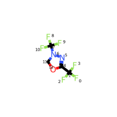 FC(F)(F)C1=NN(C(F)(F)F)CO1